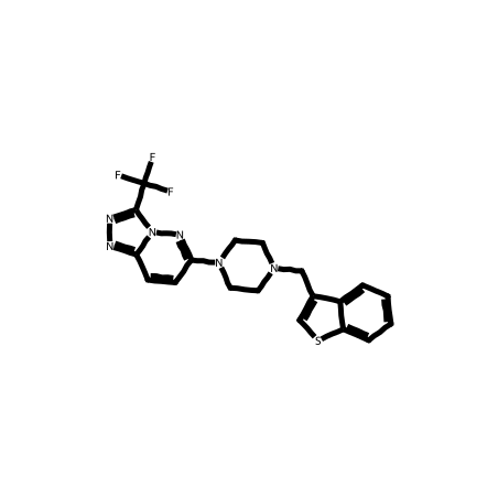 FC(F)(F)c1nnc2ccc(N3CCN(Cc4csc5ccccc45)CC3)nn12